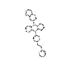 C(=C\c1ccccn1)/c1ccc(-c2c3ccccc3c(-c3ccc4cccnc4c3)c3ccccc23)cc1